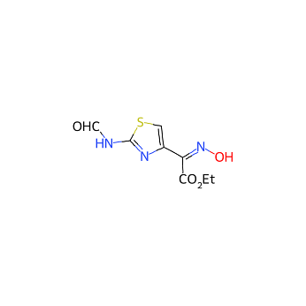 CCOC(=O)/C(=N\O)c1csc(NC=O)n1